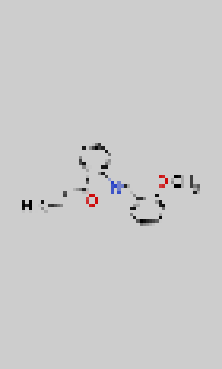 CCCC(=O)c1ccccc1/N=C/c1ccccc1OC